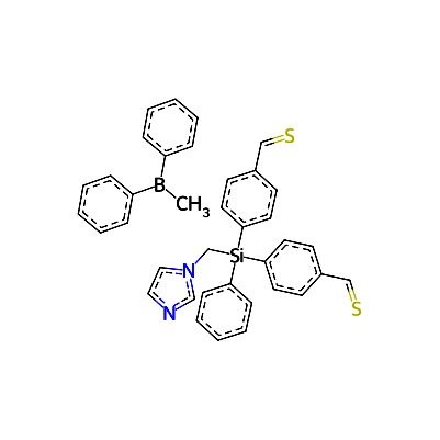 CB(c1ccccc1)c1ccccc1.S=Cc1ccc([Si](Cn2ccnc2)(c2ccccc2)c2ccc(C=S)cc2)cc1